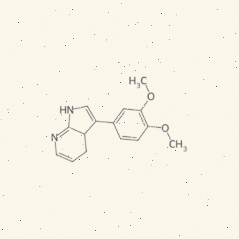 COc1ccc(C2=CNC3=NC=CCC23)cc1OC